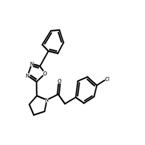 O=C(Cc1ccc(Cl)cc1)N1CCCC1c1nnc(-c2ccccc2)o1